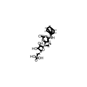 O=P(O)(O)CC[C@H]1O[C@@H](n2cnc3c(NC4C5CC6CC(C5)CC4C6)nc(Cl)nc32)C(O)C1O